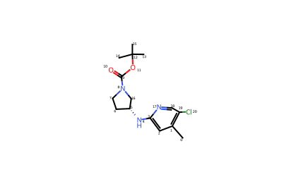 Cc1cc(N[C@@H]2CCN(C(=O)OC(C)(C)C)C2)ncc1Cl